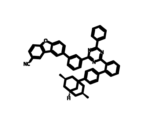 C[C@@H]1C[C@@H]2C[C@H](C)CC(c3ccc(-c4ccccc4-c4nc(-c5ccccc5)nc(-c5cccc(-c6ccc7oc8ccc(C#N)cc8c7c6)c5)n4)cc3)(C1)C2